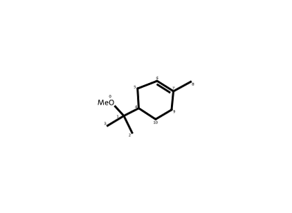 COC(C)(C)C1CC=C(C)CC1